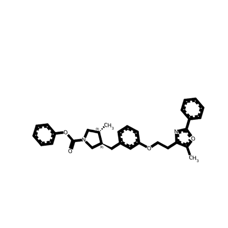 Cc1oc(-c2ccccc2)nc1CCOc1cccc(C[C@H]2CN(C(=O)Oc3ccccc3)C[C@@H]2C)c1